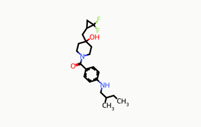 CCC(C)CNc1ccc(C(=O)N2CCC(O)(CC3CC3(F)F)CC2)cc1